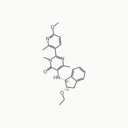 CCO[C@H]1Cc2ccccc2[C@H]1Nc1c(C)nc(-c2ccc(OC)nc2C)n(C)c1=O